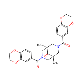 CC12CN(C(=O)c3ccc4c(c3)OCCO4)CC(C)(CN(C(=O)c3ccc4c(c3)OCCO4)C1)C2=O